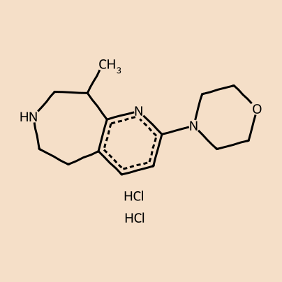 CC1CNCCc2ccc(N3CCOCC3)nc21.Cl.Cl